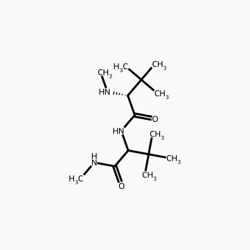 CNC(=O)C(NC(=O)[C@H](NC)C(C)(C)C)C(C)(C)C